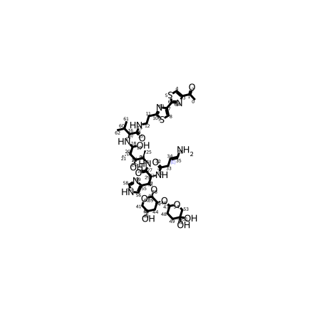 CC(=O)c1csc(-c2csc(CCNC(=O)[C@@H](NC(O)[C@@H](C)[C@H](O)[C@@H](C)NC(=O)[C@@H](NC(=O)C/C=C/N)[C@@H](O[C@@H]3OC[C@@H](O)C[C@H]3OC3CCC(O)(O)CO3)c3c[nH]cn3)C(C)C)n2)n1